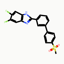 CS(=O)(=O)c1ccc(-c2cccc(-c3nc4cc(F)c(F)cc4[nH]3)c2)cc1